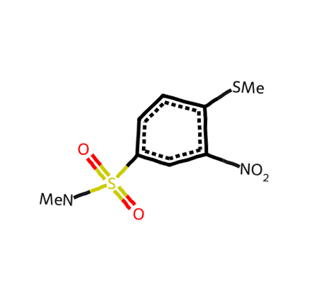 CNS(=O)(=O)c1ccc(SC)c([N+](=O)[O-])c1